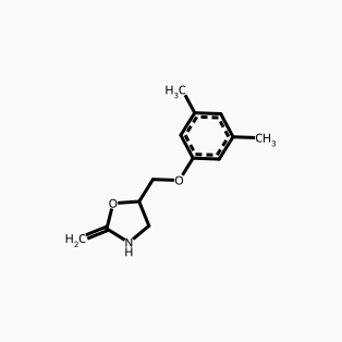 C=C1NCC(COc2cc(C)cc(C)c2)O1